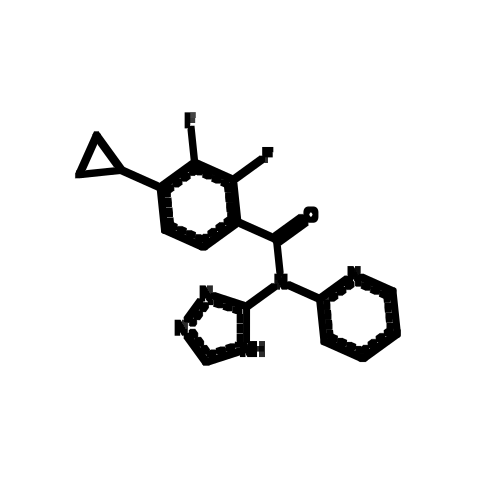 O=C(c1ccc(C2CC2)c(F)c1F)N(c1ccccn1)c1nnc[nH]1